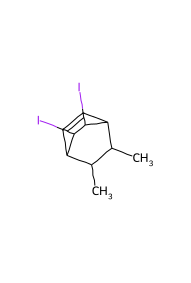 CC1C(C)C2C=CC1C(I)C2I